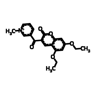 CCOc1cc(OCC)c2cc(C(=O)c3ccc[n+](C)c3)c(=O)oc2c1